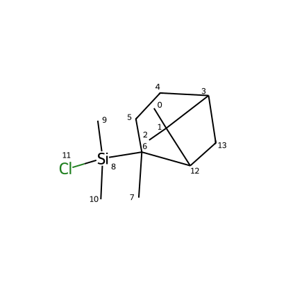 CC1(C)C2CCC(C)([Si](C)(C)Cl)C1C2